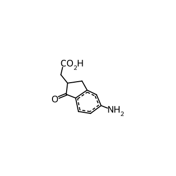 Nc1ccc2c(c1)CC(CC(=O)O)C2=O